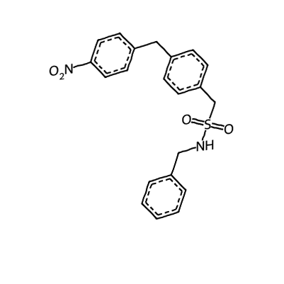 O=[N+]([O-])c1ccc(Cc2ccc(CS(=O)(=O)NCc3ccccc3)cc2)cc1